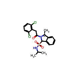 CC(C)NS(=O)(=O)C1c2ccccc2[C@H](C)N1C(=O)Cc1c(Cl)cccc1Cl